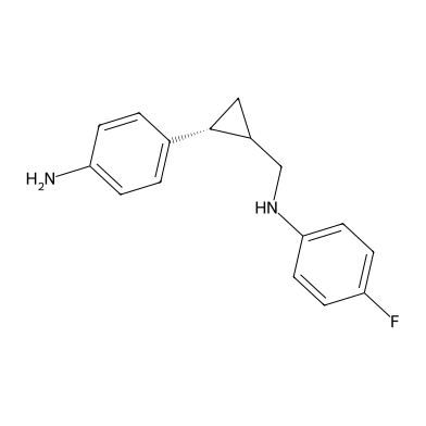 Nc1ccc([C@@H]2CC2CNc2ccc(F)cc2)cc1